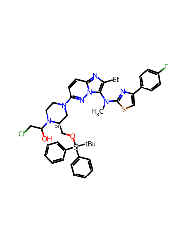 CCc1nc2ccc(N3CCN(C(O)CCl)[C@H](CO[Si](c4ccccc4)(c4ccccc4)C(C)(C)C)C3)nn2c1N(C)c1nc(-c2ccc(F)cc2)cs1